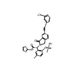 CC(C)(C)[Si](C)(C)Oc1ccc(F)cc1C(C(=O)Nc1nccs1)N1Cc2ccc(C#Cc3ccnc(Cl)c3)cc2C1=O